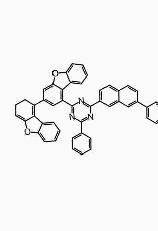 C1=c2oc3ccccc3c2=C(c2cc(-c3nc(-c4ccccc4)nc(-c4ccc5ccc(-c6ccccc6)cc5c4)n3)c3c(c2)oc2ccccc23)CC1